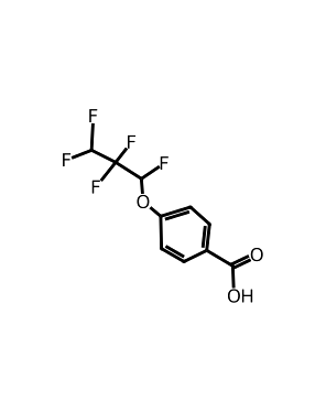 O=C(O)c1ccc(OC(F)C(F)(F)C(F)F)cc1